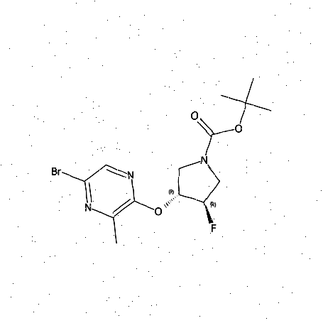 Cc1nc(Br)cnc1O[C@@H]1CN(C(=O)OC(C)(C)C)C[C@H]1F